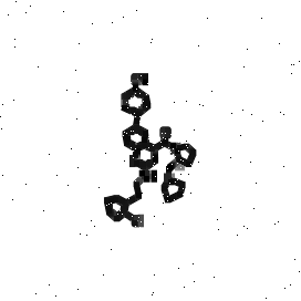 N#Cc1ccc(-c2ccc3nc(NCCc4ccccc4Cl)cc(C(=O)N4CCC[C@H]4CN4CCCC4)c3c2)cc1